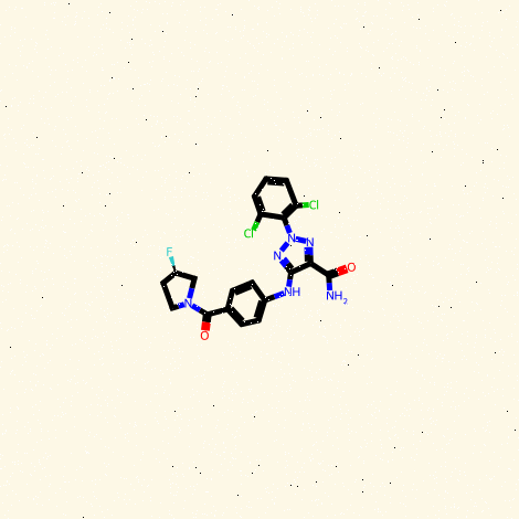 NC(=O)c1nn(-c2c(Cl)cccc2Cl)nc1Nc1ccc(C(=O)N2CC[C@@H](F)C2)cc1